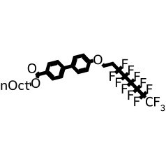 CCCCCCCCOC(=O)c1ccc(-c2ccc(OCCC(F)(F)C(F)(F)C(F)(F)C(F)(F)C(F)(F)C(F)(F)F)cc2)cc1